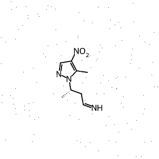 Cc1c([N+](=O)[O-])cnn1[C@@H](C)CC=N